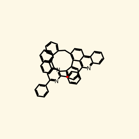 c1ccc(-c2cc(-c3ccccc3)nc(-c3cccc(-c4nc5ccccc5c5ccc6c(c45)-c4ccccc4Cc4ccccc4-c4ccccc4C6)c3)n2)cc1